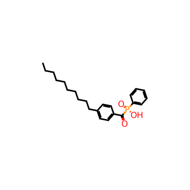 CCCCCCCCCCc1ccc(C(=O)P(=O)(O)c2ccccc2)cc1